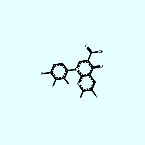 O=C(O)c1cn(-c2ccc(F)c(F)c2F)c2nc(Cl)c(F)cc2c1=O